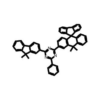 CC1(C)c2ccccc2-c2ccc(-c3nc(-c4ccccc4)nc(-c4ccc5c(c4)C(C)(C)c4ccccc4C54c5ccccc5-c5ccccc54)n3)cc21